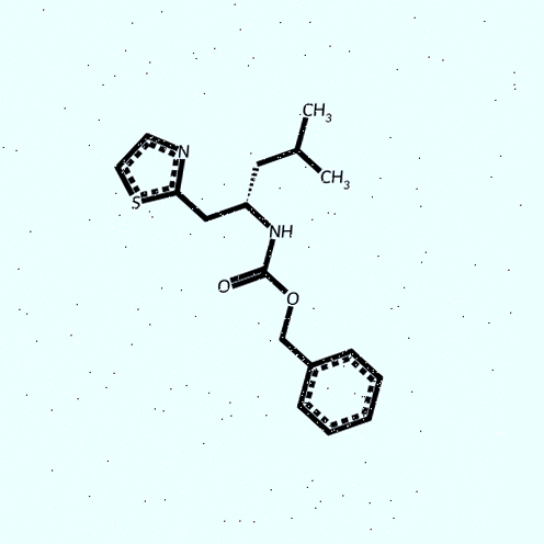 CC(C)C[C@@H](Cc1nccs1)NC(=O)OCc1ccccc1